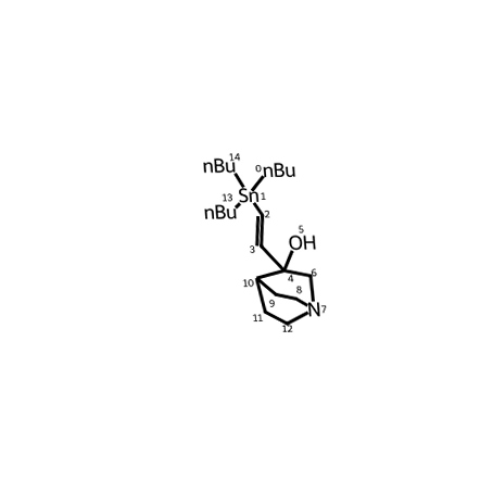 CCC[CH2][Sn]([CH]=CC1(O)CN2CCC1CC2)([CH2]CCC)[CH2]CCC